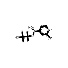 CC(C)c1cc(B(O)OC(C)(C)C(C)(C)O)ccn1